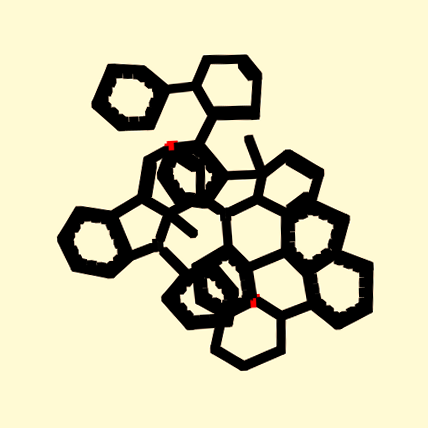 CC1(c2ccccc2C2=CC=CCC2c2ccccc2)C=CC=CC1N(c1ccccc1-c1cccc2cccc(C3CCCCC3)c12)C1C=CC=C2c3ccccc3N(c3ccccc3)C21C